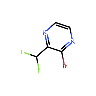 FC(F)c1nccnc1Br